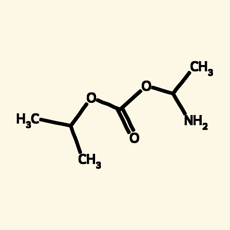 CC(C)OC(=O)OC(C)N